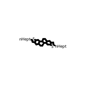 CCCCCCCc1cc2cc3ccc4c5cc6sc(CCCCCCC)cc6cc5ccc4c3cc2s1